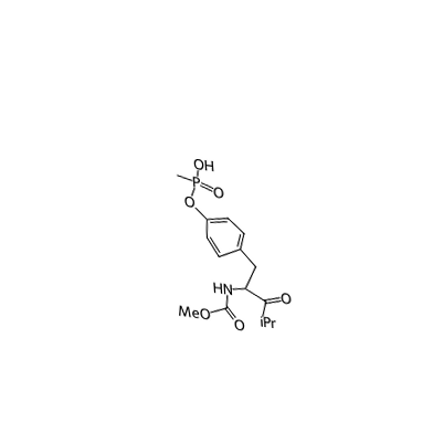 COC(=O)NC(Cc1ccc(OP(C)(=O)O)cc1)C(=O)C(C)C